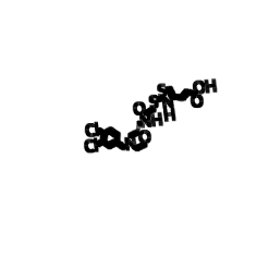 O=C(O)/C=C/C1=CSC(SCC(=O)NC[C@H]2CN(Cc3ccc(Cl)c(Cl)c3)CCO2)N1